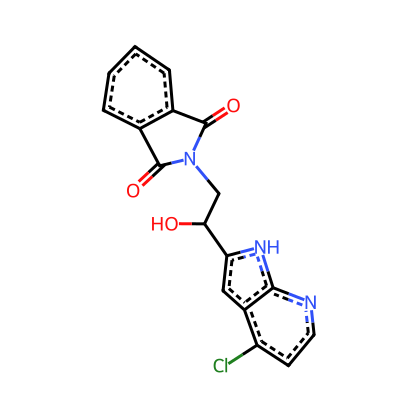 O=C1c2ccccc2C(=O)N1CC(O)c1cc2c(Cl)ccnc2[nH]1